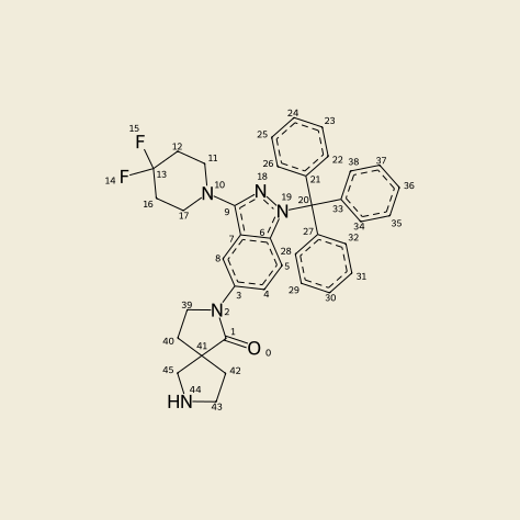 O=C1N(c2ccc3c(c2)c(N2CCC(F)(F)CC2)nn3C(c2ccccc2)(c2ccccc2)c2ccccc2)CCC12CCNC2